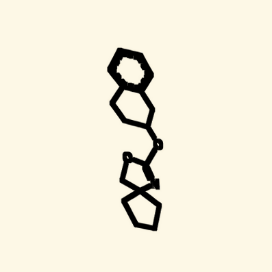 c1ccc2c(c1)CCC(OC1=NC3(CCCC3)CO1)C2